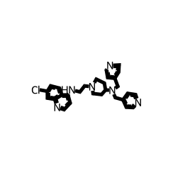 Clc1ccc2c(NCCN3CCC(N(Cc4ccncc4)Cc4ccncc4)CC3)ccnc2c1